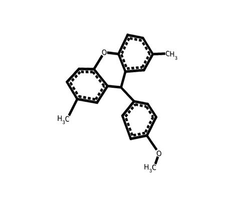 COc1ccc(C2c3cc(C)ccc3Oc3ccc(C)cc32)cc1